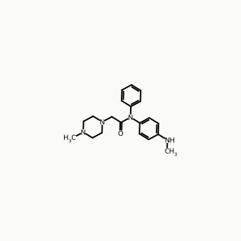 CNc1ccc(N(C(=O)CN2CCN(C)CC2)c2ccccc2)cc1